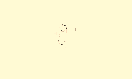 COc1ccc(Nc2nc(C)cc(C)n2)c(F)c1F